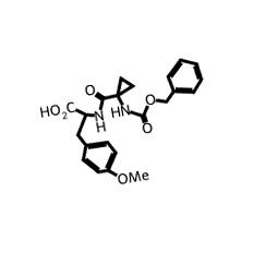 COc1ccc(CC(NC(=O)C2(NC(=O)OCc3ccccc3)CC2)C(=O)O)cc1